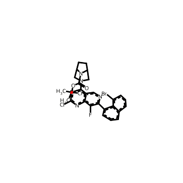 CC(C)(C)OC(=O)N1C2CCC1CN(c1nc(Cl)nc3c(F)c(-c4cccc5cccc(Br)c45)ncc13)C2